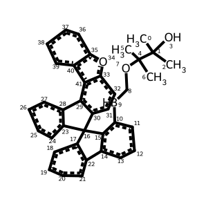 CC(C)(O)C(C)(C)OCBc1cccc2c1C1(c3ccccc3-2)c2ccccc2-c2c1ccc1oc3ccccc3c21